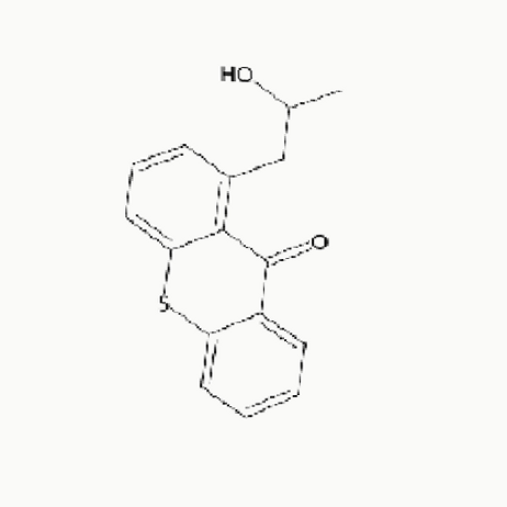 CC(O)Cc1cccc2sc3ccccc3c(=O)c12